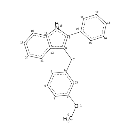 COc1cccc(Cc2c(-c3ccccc3)[nH]c3ccccc23)c1